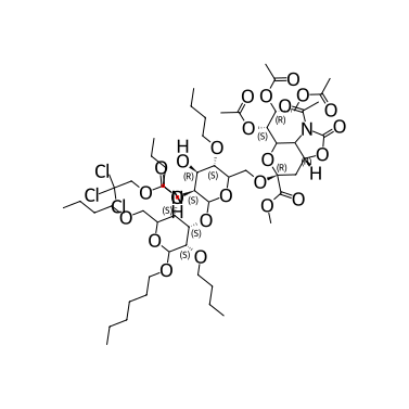 CCCCCCOC1OC(COCCCC)[C@H](OCCCC)[C@H](OC2OC(CO[C@]3(C(=O)OC)C[C@H]4OC(=O)N(C(C)=O)C4C([C@H](OC(C)=O)[C@@H](COC(C)=O)OC(C)=O)O3)[C@@H](OCCCC)[C@H](O)[C@@H]2NC(=O)OCC(Cl)(Cl)Cl)[C@@H]1OCCCC